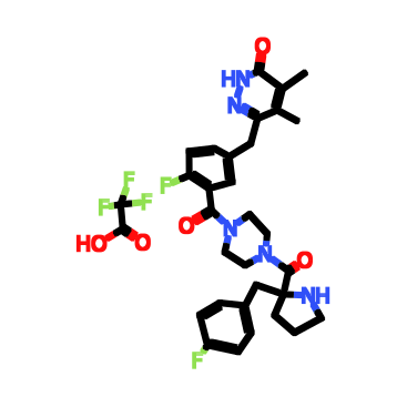 Cc1c(Cc2ccc(F)c(C(=O)N3CCN(C(=O)C4(Cc5ccc(F)cc5)CCCN4)CC3)c2)n[nH]c(=O)c1C.O=C(O)C(F)(F)F